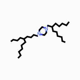 CCCCCCC(CCCC)CCCCN1CCN(CC(CCCCC)CCCCCC)CC1